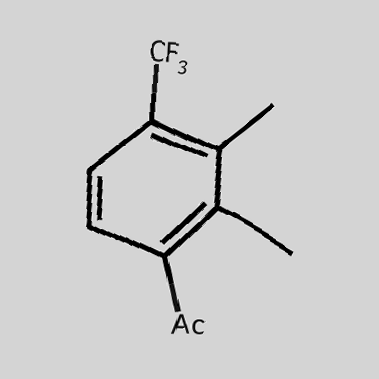 CC(=O)c1ccc(C(F)(F)F)c(C)c1C